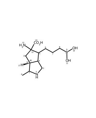 CC1NCC2C(CCCB(O)O)C(N)(C(=O)O)C[C@@H]12